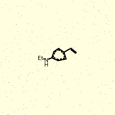 C=Cc1ccc(NCC)cc1